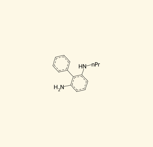 CCCNc1cccc(N)c1-c1ccccc1